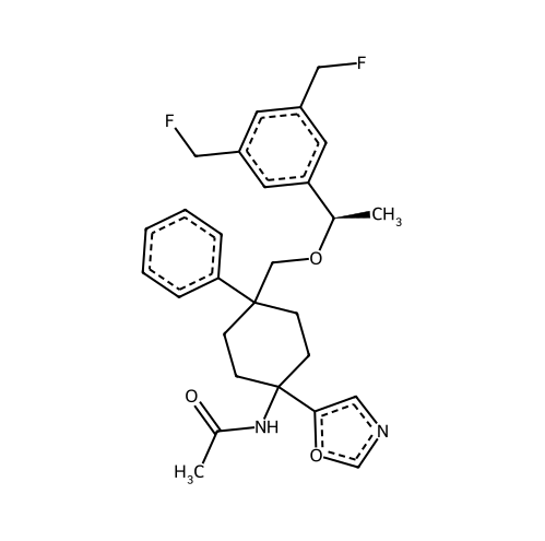 CC(=O)NC1(c2cnco2)CCC(CO[C@H](C)c2cc(CF)cc(CF)c2)(c2ccccc2)CC1